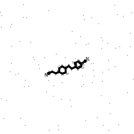 N#CCCC1CCC(CCc2ccc(C#N)cc2)CC1